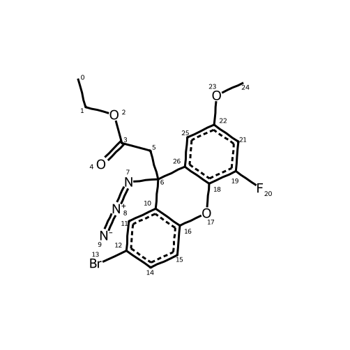 CCOC(=O)CC1(N=[N+]=[N-])c2cc(Br)ccc2Oc2c(F)cc(OC)cc21